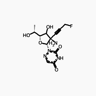 C[C@@H](O)[C@H]1O[C@@H](n2ncc(=O)[nH]c2=O)[C@@](N)(C#CCF)C1O